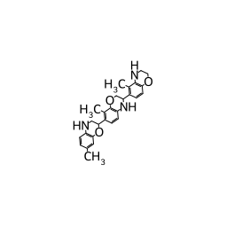 Cc1ccc2c(c1)OC(c1ccc3c(c1C)OCC(c1ccc4c(c1C)NCCO4)N3)CN2